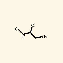 CCCC[CH](Cl)[AlH][Cl]